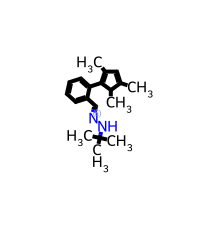 CC1=CC(C)=C(c2ccccc2/C=N/NC(C)(C)C)C1C